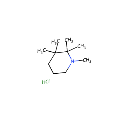 CN1CCCC(C)(C)C1(C)C.Cl